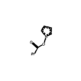 CC(C)C(=O)On1cccc1